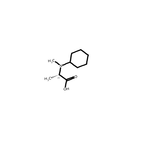 C[C@@H](C(=O)O)N(C)C1CCCCC1